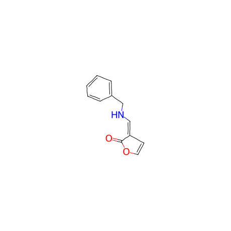 O=C1OC=CC1=CNCc1ccccc1